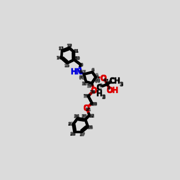 CC(C)(O)O[C@H]1C[C@H](NCc2ccccc2)C[C@@H]1OCCOCc1ccccc1